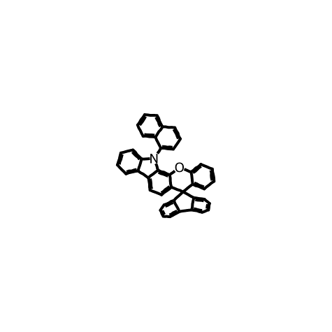 c1ccc2c(c1)Oc1c(ccc3c4ccccc4n(-c4cccc5ccccc45)c13)C21c2ccccc2-c2ccccc21